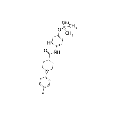 CC(C)(C)[Si](C)(C)OC1=CC=C(NC(=O)C2CCN(c3ccc(F)cc3)CC2)NC1